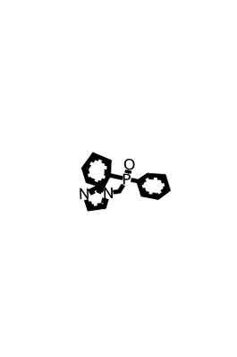 O=P(Cn1ccnc1)(c1ccccc1)c1ccccc1